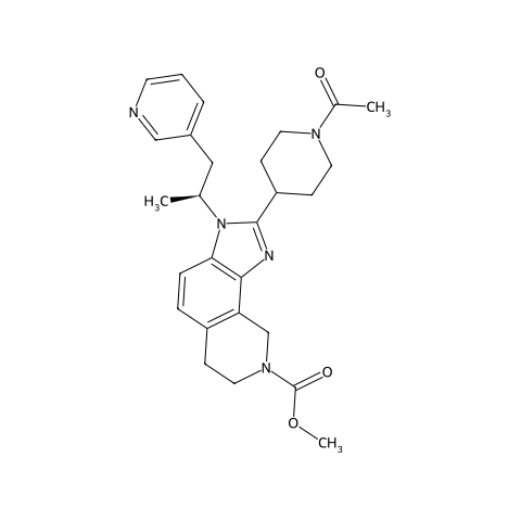 COC(=O)N1CCc2ccc3c(nc(C4CCN(C(C)=O)CC4)n3[C@@H](C)Cc3cccnc3)c2C1